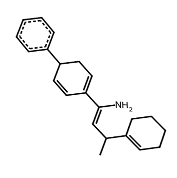 CC(/C=C(\N)C1=CCC(c2ccccc2)C=C1)C1=CCCCC1